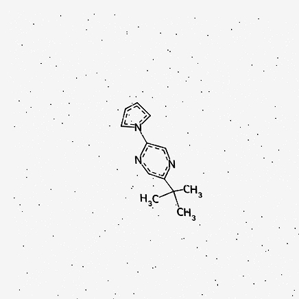 CC(C)(C)c1cnc(-n2cccc2)cn1